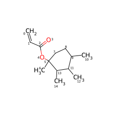 C=CC(=O)OC1(C)CCC(C)C(C)C1C